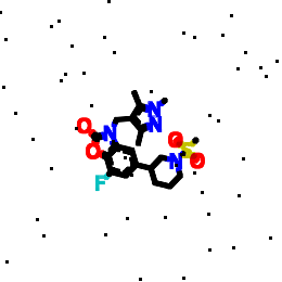 Cc1nn(C)c(C)c1Cn1c(=O)oc2c(F)cc(C3CCCN(S(C)(=O)=O)C3)cc21